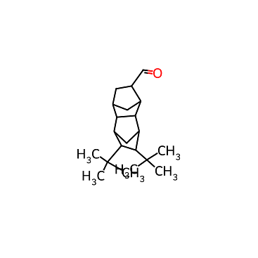 CC(C)(C)C1C2CC(C3C4CC(CC4C=O)C23)C1C(C)(C)C